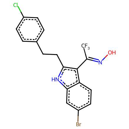 ON=C(c1c(CCc2ccc(Cl)cc2)[nH]c2cc(Br)ccc12)C(F)(F)F